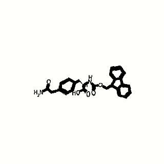 NC(=O)Cc1ccc(C[C@H](NC(=O)OCC2c3ccccc3-c3ccccc32)C(=O)O)cc1